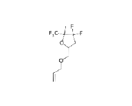 C=CCOCC1CC(F)(F)C(C)(C(F)(F)F)O1